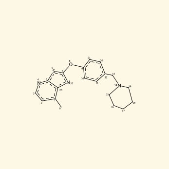 Cc1ccnc2sc(Oc3ccc(CN4CCCCC4)cc3)nc12